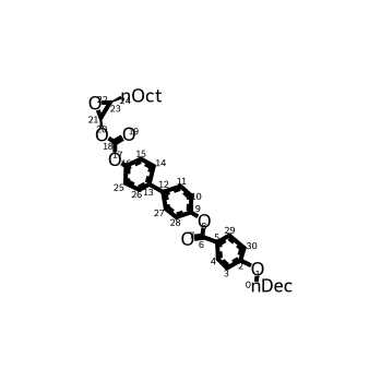 CCCCCCCCCCOc1ccc(C(=O)Oc2ccc(-c3ccc(OC(=O)O[C@H]4O[C@H]4CCCCCCCC)cc3)cc2)cc1